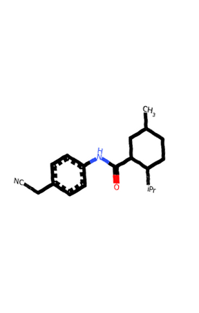 CC1CCC(C(C)C)C(C(=O)Nc2ccc(CC#N)cc2)C1